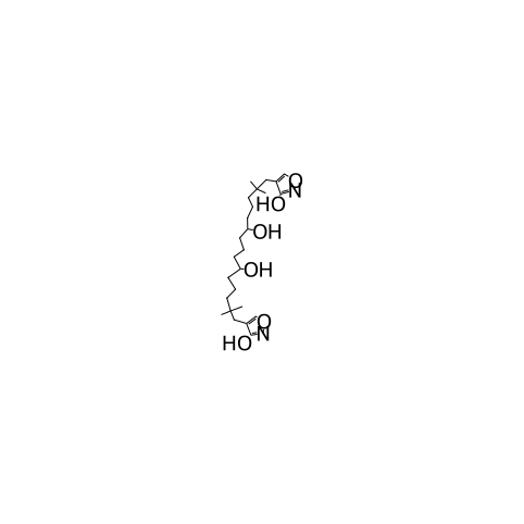 CC(C)(CCCC(O)CCCC(O)CCCC(C)(C)Cc1conc1O)Cc1conc1O